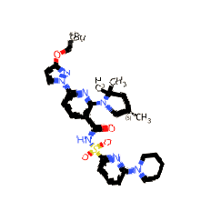 C[C@@H]1CN(c2nc(-n3ccc(OCC(C)(C)C)n3)ccc2C(=O)NS(=O)(=O)c2cccc(N3CCCCC3)n2)C(C)(C)C1